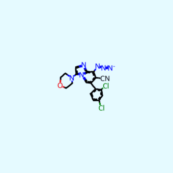 N#Cc1c(-c2ccc(Cl)cc2Cl)cn2c(N3CCOCC3)cnc2c1N=[N+]=[N-]